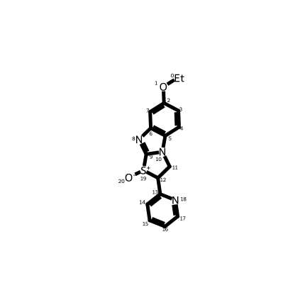 CCOc1ccc2c(c1)nc1n2CC(c2ccccn2)[S+]1[O-]